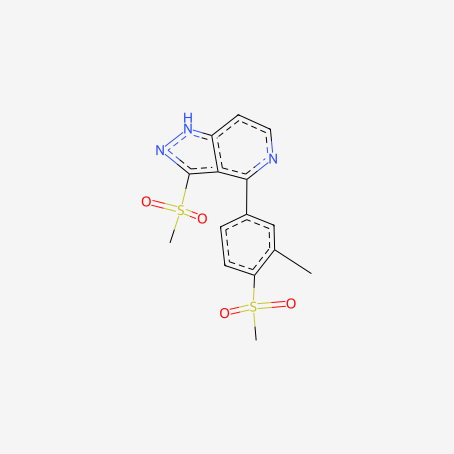 Cc1cc(-c2nccc3[nH]nc(S(C)(=O)=O)c23)ccc1S(C)(=O)=O